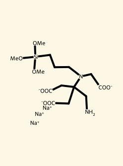 CO[Si](CCCN(CC(=O)[O-])C(CN)(CC(=O)[O-])CC(=O)[O-])(OC)OC.[Na+].[Na+].[Na+]